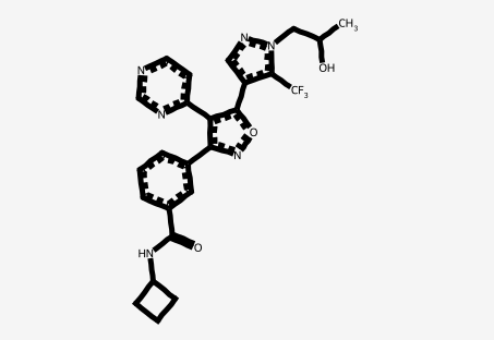 CC(O)Cn1ncc(-c2onc(-c3cccc(C(=O)NC4CCC4)c3)c2-c2ccncn2)c1C(F)(F)F